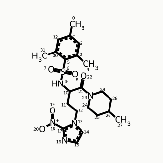 Cc1cc(C)c(S(=O)(=O)NC(CCn2ccnc2[N+](=O)[O-])C(=O)N2CCC(C)CC2)c(C)c1